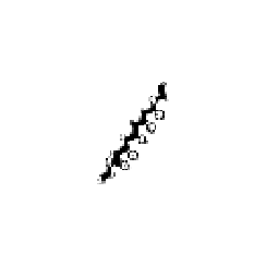 CCOC(=O)CC(=O)CC(=O)CC(=O)CC(=O)OCC